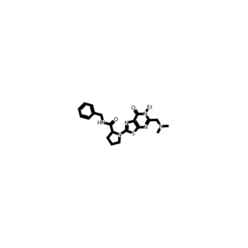 CCn1c(CN(C)C)nc2sc(N3CCCC3C(=O)NCc3ccccc3)nc2c1=O